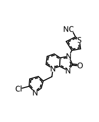 N#Cc1cc(-n2c3cccn(Cc4ccc(Cl)nc4)c-3nc2=O)cs1